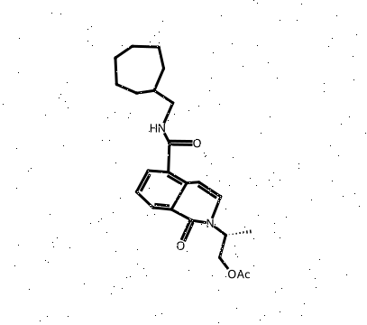 CC(=O)OC[C@@H](C)n1ccc2c(C(=O)NCC3CCCCCC3)cccc2c1=O